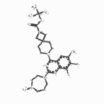 Cc1cc2c(N3CCC4(CC3)CN(C(=O)OC(C)(C)C)C4)nc(N3CCCN(C)CC3)nc2c(F)c1Br